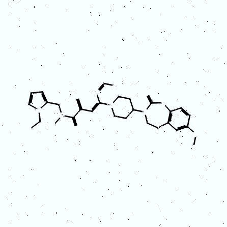 C=C(/C=C(\N=C/N)N1CCC(N2CCc3cc(OC)ccc3NC2=O)CC1)C(=O)N(C)Cc1cccn1CC